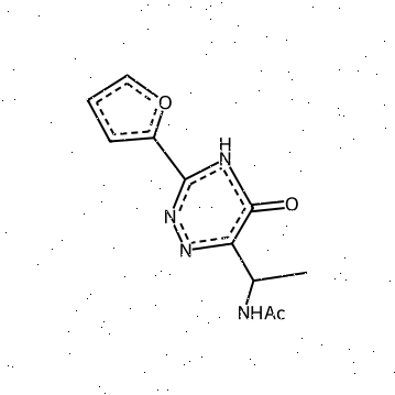 CC(=O)NC(C)c1nnc(-c2ccco2)[nH]c1=O